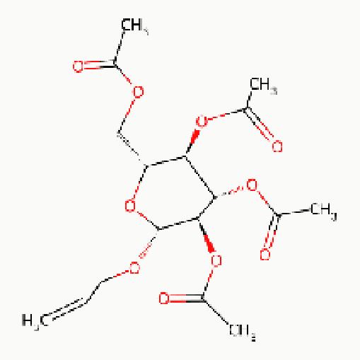 C=CCO[C@@H]1O[C@H](COC(C)=O)[C@@H](OC(C)=O)[C@H](OC(C)=O)[C@H]1OC(C)=O